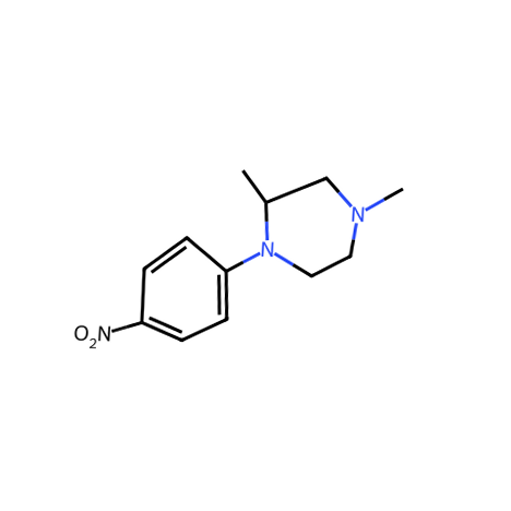 CC1CN(C)CCN1c1ccc([N+](=O)[O-])cc1